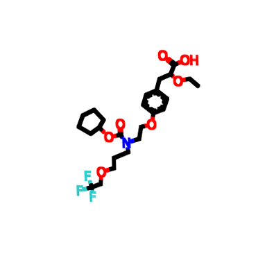 CCOC(Cc1ccc(OCCN(CCCOCC(F)(F)F)C(=O)OC2CCCCC2)cc1)C(=O)O